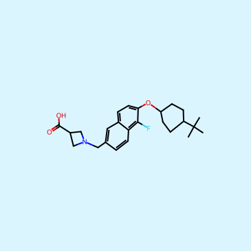 CC(C)(C)C1CCC(Oc2ccc3cc(CN4CC(C(=O)O)C4)ccc3c2F)CC1